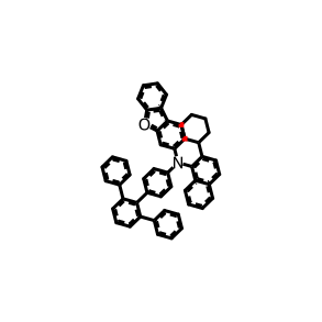 c1ccc(-c2cccc(-c3ccccc3)c2-c2ccc(N(c3ccc4c(c3)oc3ccccc34)c3c(C4CCCCC4)ccc4ccccc34)cc2)cc1